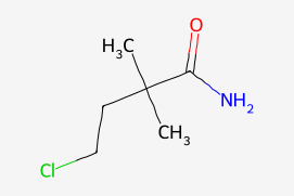 CC(C)(CCCl)C(N)=O